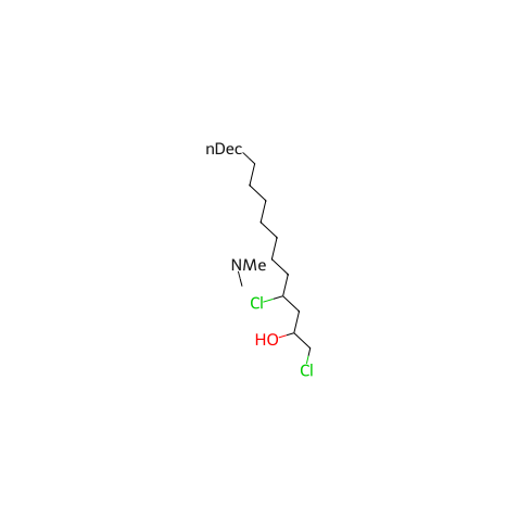 CCCCCCCCCCCCCCCCCC(Cl)CC(O)CCl.CNC